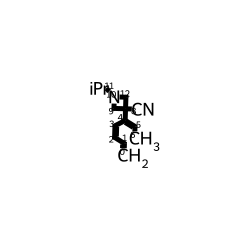 C=C/C=C\C(=C/C)C1(C#N)CN(C(C)C)C1